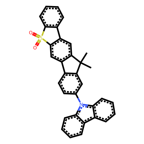 CC1(C)c2cc(-n3c4ccccc4c4ccccc43)ccc2-c2cc3c(cc21)-c1ccccc1S3(=O)=O